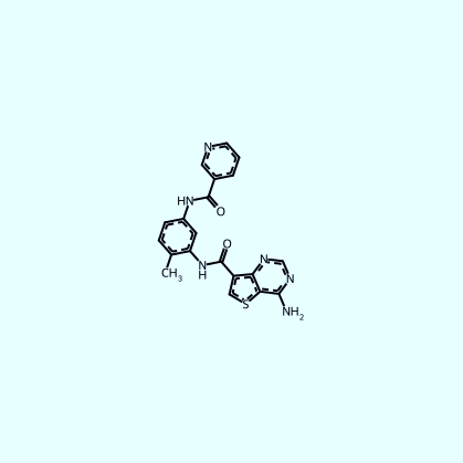 Cc1ccc(NC(=O)c2cccnc2)cc1NC(=O)c1csc2c(N)ncnc12